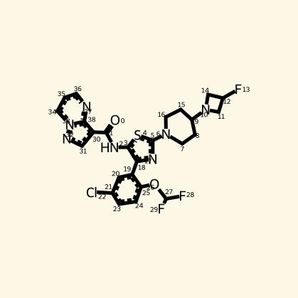 O=C(Nc1sc(N2CCC(N3CC(F)C3)CC2)nc1-c1cc(Cl)ccc1OC(F)F)c1cnn2cccnc12